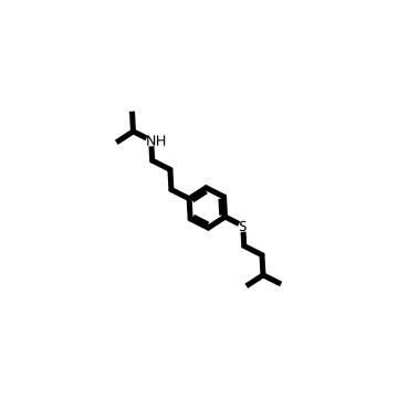 CC(C)CCSc1ccc(CCCNC(C)C)cc1